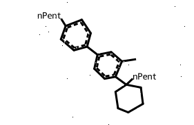 CCCCCc1ccc(-c2ccc(C3(CCCCC)CCCCC3)c(C)c2)cc1